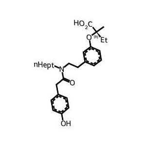 CCCCCCCN(CCc1cccc(O[C@](C)(CC)C(=O)O)c1)C(=O)Cc1ccc(O)cc1